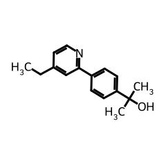 CCc1ccnc(-c2ccc(C(C)(C)O)cc2)c1